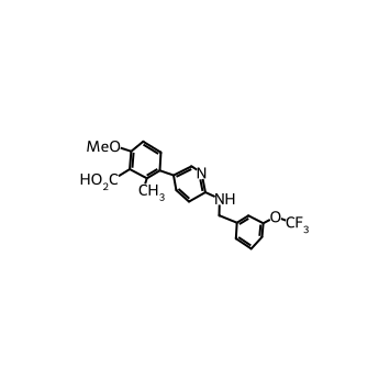 COc1ccc(-c2ccc(NCc3cccc(OC(F)(F)F)c3)nc2)c(C)c1C(=O)O